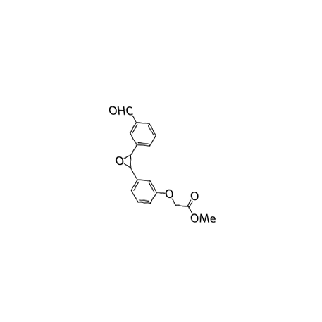 COC(=O)COc1cccc(C2OC2c2cccc(C=O)c2)c1